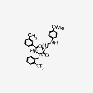 COc1ccc(NCCNC(=O)[C@H](Cc2ccccc2C(F)(F)F)NC(=O)c2cccc(C)c2)cc1